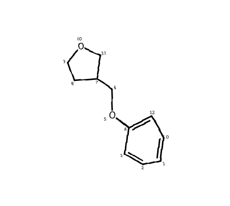 [c]1cccc(OCC2CCOC2)c1